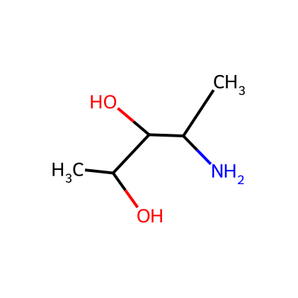 CC(N)C(O)C(C)O